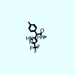 CNC(=O)C(c1ccc(C)cc1)c1cc(C(F)(F)F)n[nH]1